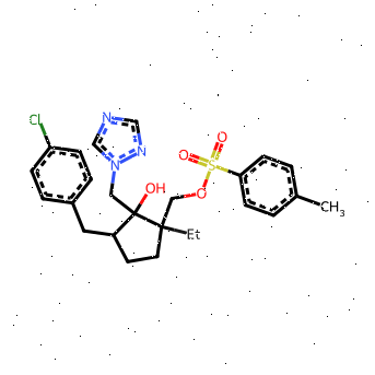 CCC1(COS(=O)(=O)c2ccc(C)cc2)CCC(Cc2ccc(Cl)cc2)C1(O)Cn1cncn1